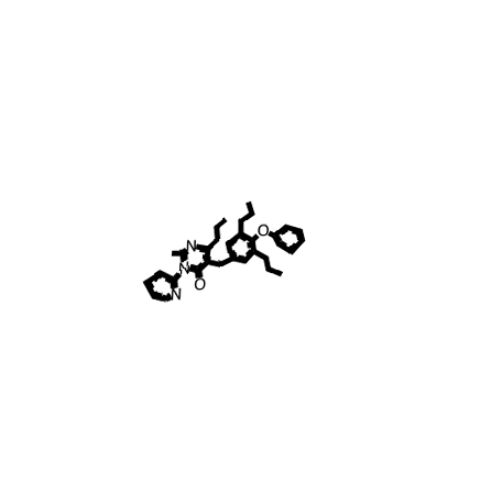 CCCc1cc(Cc2c(CCC)nc(C)n(-c3ccccn3)c2=O)cc(CCC)c1Oc1ccccc1